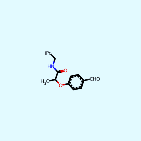 CC(C)CNC(=O)C(C)Oc1ccc(C=O)cc1